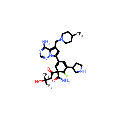 NC(=O)C1(C(=O)CC(O)(C(F)(F)F)C(F)(F)F)C=C(c2cc(CN3CCC(C(F)(F)F)CC3)c3c(N)ncnn23)C=C(C2CCNC2)C1F